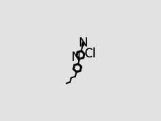 CCCCc1ccc(-c2cc(Cl)c(C#N)cn2)cc1